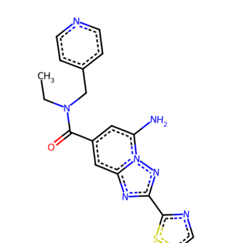 CCN(Cc1ccncc1)C(=O)c1cc(N)n2nc(-c3nccs3)nc2c1